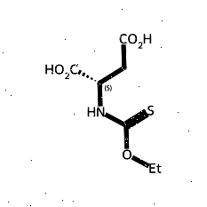 CCOC(=S)N[C@@H](CC(=O)O)C(=O)O